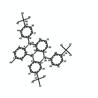 Cc1ccc2c(c1)B1c3ccc(C(C)(C)C)cc3N(c3cccc(C(C)(C)C)c3)c3cccc(c31)N2c1ccc(C(C)(C)C)cc1